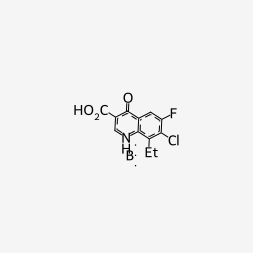 CCc1c(Cl)c(F)cc2c(=O)c(C(=O)O)c[nH]c12.[B]